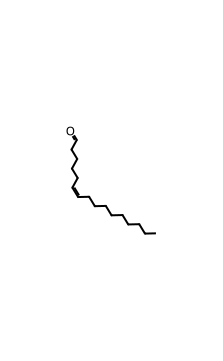 CCCCCCCCC/C=C\CCCCC=O